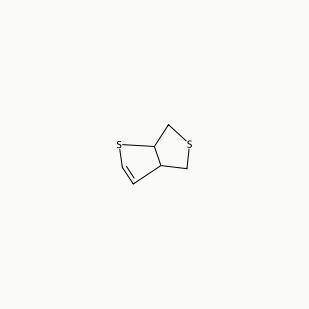 C1=CC2CSCC2S1